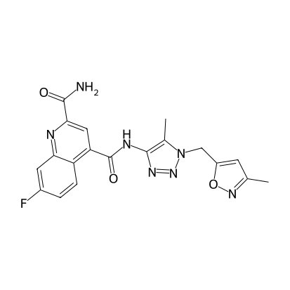 Cc1cc(Cn2nnc(NC(=O)c3cc(C(N)=O)nc4cc(F)ccc34)c2C)on1